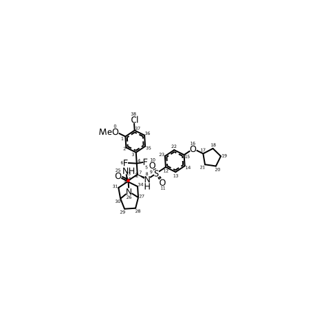 COc1cc(C(F)(F)[C@@H](NS(=O)(=O)c2ccc(OC3CCCC3)cc2)C(=O)N2C3CCC2CC(N)C3)ccc1Cl